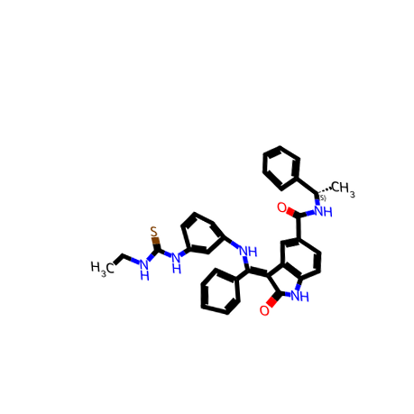 CCNC(=S)Nc1cccc(NC(=C2C(=O)Nc3ccc(C(=O)N[C@@H](C)c4ccccc4)cc32)c2ccccc2)c1